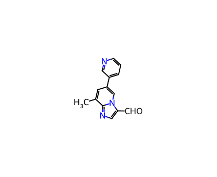 Cc1cc(-c2cccnc2)cn2c(C=O)cnc12